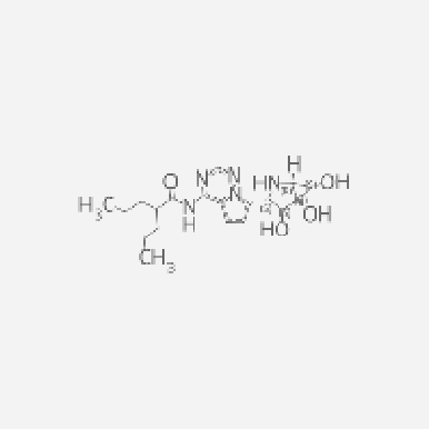 CCCC(CCC)C(=O)Nc1ncnn2c([C@@H]3N[C@@H]4[C@H](O)[C@]4(O)[C@H]3O)ccc12